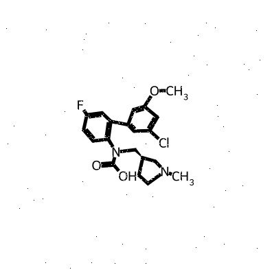 COc1cc(Cl)cc(-c2cc(F)ccc2N(C[C@@H]2CCN(C)C2)C(=O)O)c1